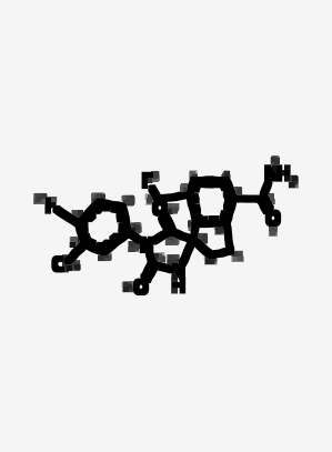 NC(=O)c1ccc(CF)c2c1CCC21NC(=O)N(c2ccc(F)c(Cl)c2)C1=O